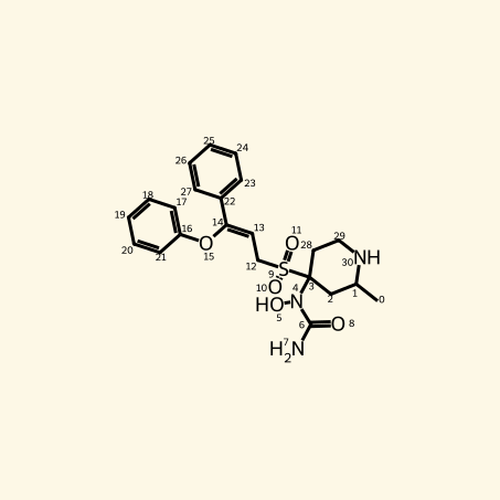 CC1CC(N(O)C(N)=O)(S(=O)(=O)CC=C(Oc2ccccc2)c2ccccc2)CCN1